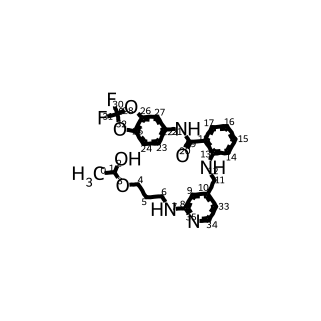 CC(O)OCCCNc1cc(CNc2ccccc2C(=O)Nc2ccc3c(c2)OC(F)(F)O3)ccn1